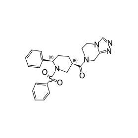 O=C([C@@H]1CC[C@H](c2ccccc2)N(S(=O)(=O)c2ccccc2)C1)N1CCn2cnnc2C1